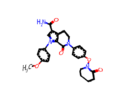 COc1ccc(-n2cc(C(N)=O)c3c2C(=O)N(c2ccc(ON4CCCCC4=O)cc2)CC3)cc1